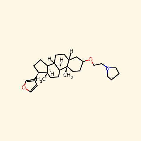 C[C@]12CCC(OCCN3CCCC3)C[C@H]1CC[C@@H]1[C@@H]2CC[C@]2(C)[C@@H](c3ccoc3)CC[C@@H]12